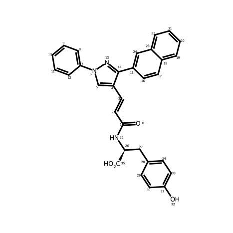 O=C(/C=C/c1cn(-c2ccccc2)nc1-c1ccc2ccccc2c1)N[C@@H](Cc1ccc(O)cc1)C(=O)O